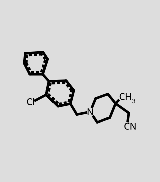 CC1(CC#N)CCN(Cc2ccc(-c3ccccc3)c(Cl)c2)CC1